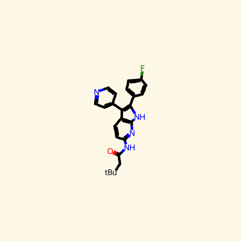 CC(C)(C)CC(=O)Nc1ccc2c(-c3ccncc3)c(-c3ccc(F)cc3)[nH]c2n1